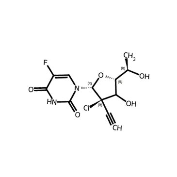 C#C[C@@]1(Cl)C(O)[C@@H]([C@@H](C)O)O[C@H]1n1cc(F)c(=O)[nH]c1=O